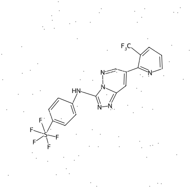 FC(F)(F)c1cccnc1-c1cnn2c(Nc3ccc(S(F)(F)(F)(F)F)cc3)nnc2c1